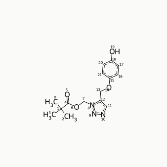 CC(C)(C)C(=O)OCn1nncc1COc1ccc(O)cc1